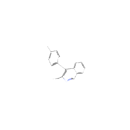 Cc1ccc(-c2c(C(C)(C)C)ncc3ccccc23)cc1